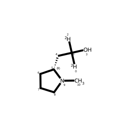 [2H]C([2H])(O)C[C@H]1CCCN1C